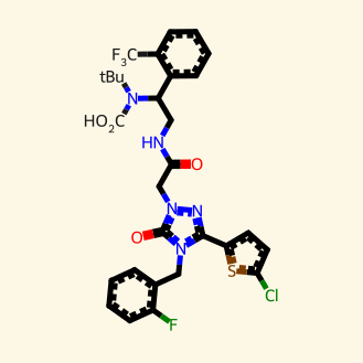 CC(C)(C)N(C(=O)O)C(CNC(=O)Cn1nc(-c2ccc(Cl)s2)n(Cc2ccccc2F)c1=O)c1ccccc1C(F)(F)F